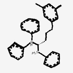 Cc1cc(C)cc(CCC[C@H]([SiH2]c2ccccc2)[SiH](c2ccccc2)c2ccccc2)c1